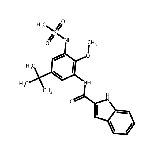 COc1c(NC(=O)c2cc3ccccc3[nH]2)cc(C(C)(C)C)cc1NS(C)(=O)=O